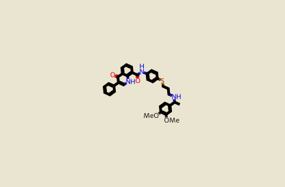 COc1ccc(C(C)NCCCSc2ccc(NC(=O)c3cccc4c(=O)c(-c5ccccc5)c[nH]c34)cc2)cc1OC